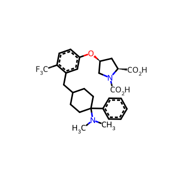 CN(C)C1(c2ccccc2)CCC(Cc2cc(O[C@H]3C[C@@H](C(=O)O)N(C(=O)O)C3)ccc2C(F)(F)F)CC1